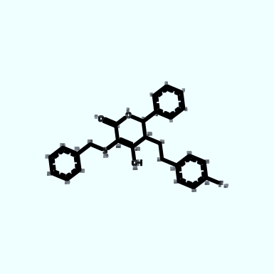 O=C1OC(c2ccccc2)C(CCc2ccc(F)cc2)C(O)=C1SCc1ccccc1